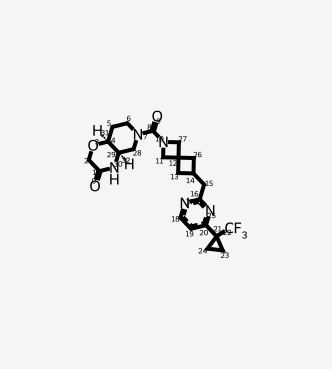 O=C1CO[C@H]2CCN(C(=O)N3CC4(CC(Cc5nccc(C6(C(F)(F)F)CC6)n5)C4)C3)C[C@H]2N1